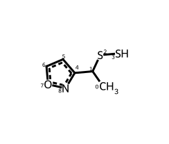 CC(SS)c1ccon1